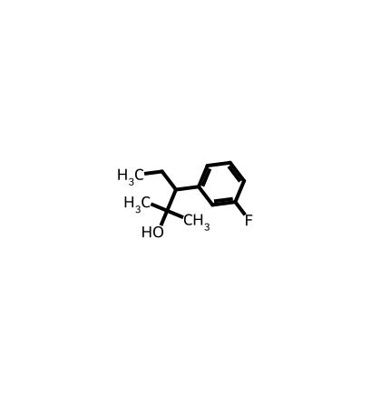 CCC(c1cccc(F)c1)C(C)(C)O